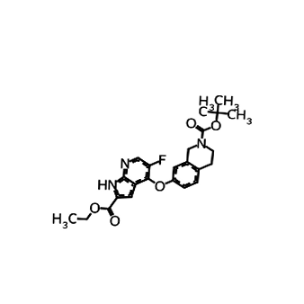 CCOC(=O)c1cc2c(Oc3ccc4c(c3)CN(C(=O)OC(C)(C)C)CC4)c(F)cnc2[nH]1